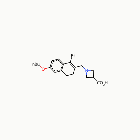 CCCCOc1ccc2c(c1)CCC(CN1CC(C(=O)O)C1)=C2CC